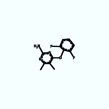 Cc1nc(N)nc(Oc2c(F)cccc2F)c1C